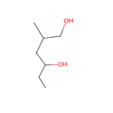 CCC(O)CC(C)CO